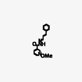 CON1C=CC=C(C(=O)NN=CC=Cc2ccccc2)C1